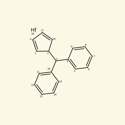 C1=CC([C](c2ccccc2)c2ccccc2)C=C1.[Hf]